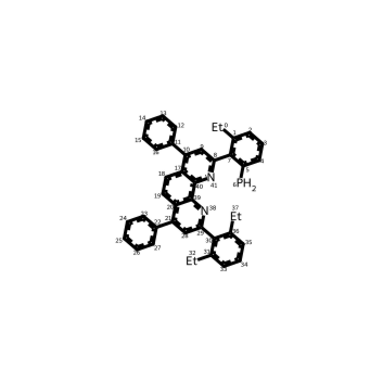 CCc1cccc(P)c1-c1cc(-c2ccccc2)c2ccc3c(-c4ccccc4)cc(-c4c(CC)cccc4CC)nc3c2n1